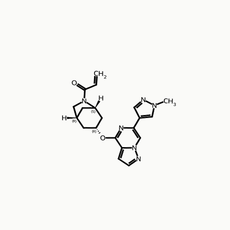 C=CC(=O)N1C[C@H]2C[C@@H](Oc3nc(-c4cnn(C)c4)cn4nccc34)C[C@@H]1C2